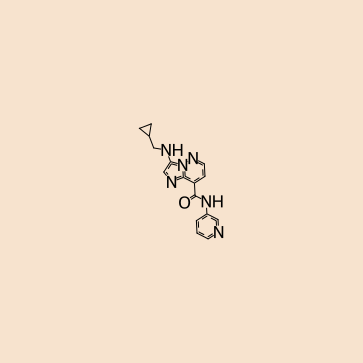 O=C(Nc1cccnc1)c1ccnn2c(NCC3CC3)cnc12